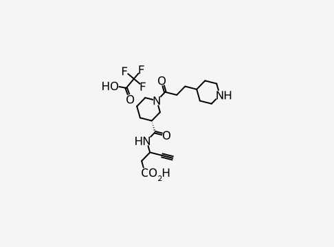 C#CC(CC(=O)O)NC(=O)[C@@H]1CCCN(C(=O)CCC2CCNCC2)C1.O=C(O)C(F)(F)F